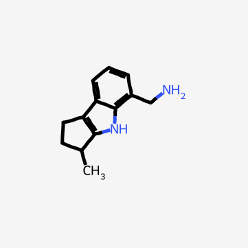 CC1CCc2c1[nH]c1c(CN)cccc21